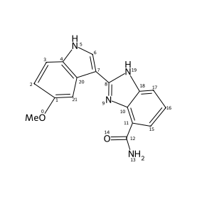 COc1ccc2[nH]cc(-c3nc4c(C(N)=O)cccc4[nH]3)c2c1